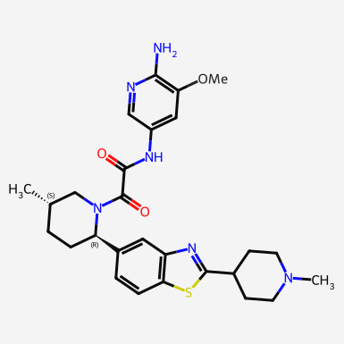 COc1cc(NC(=O)C(=O)N2C[C@@H](C)CC[C@@H]2c2ccc3sc(C4CCN(C)CC4)nc3c2)cnc1N